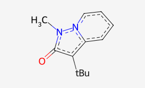 Cn1c(=O)c(C(C)(C)C)c2ccccn21